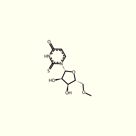 COC[C@H]1O[C@@H](n2ccc(=O)[nH]c2=S)[C@H](O)[C@@H]1O